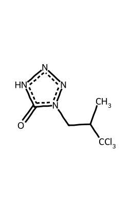 CC(Cn1nn[nH]c1=O)C(Cl)(Cl)Cl